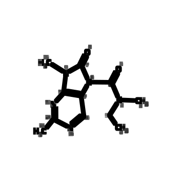 CCN(C)C(=O)n1c(=O)n(C)c2nc(C)ncc21